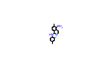 Cc1ccc(Nc2nccc3c(N)c(C)ccc23)c(F)c1